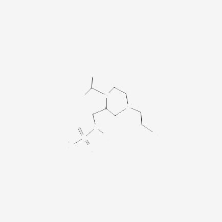 CC(C)N1CCN(CCF)CC1CN(C)S(C)(=O)=O